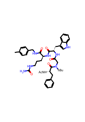 CCCCN(CC(=O)N[C@@H](Cc1c[nH]c2ccccc12)C(=O)N[C@@H](CCCNC(N)=O)C(=O)NCc1ccc(C)cc1)C(=O)[C@H](Cc1ccccc1)NC(C)=O